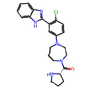 O=C([C@@H]1CCCN1)N1CCCN(c2ccc(Cl)c(-c3nc4ccccc4[nH]3)c2)CC1